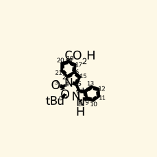 CC(C)(C)OC(=O)n1c(-c2n[nH]c3ccccc23)cc2cc(C(=O)O)ccc21